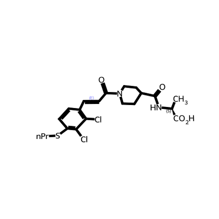 CCCSc1ccc(/C=C/C(=O)N2CCC(C(=O)N[C@@H](C)C(=O)O)CC2)c(Cl)c1Cl